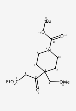 CCOC(=O)CC(=O)C1(COC)CCN(C(=O)OC(C)(C)C)CC1